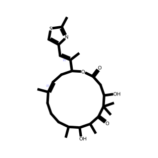 C/C1=C/CC(/C(C)=C/c2csc(C)n2)OC(=O)CC(O)C(C)(C)C(=O)C(C)C(O)C(C)CCC1